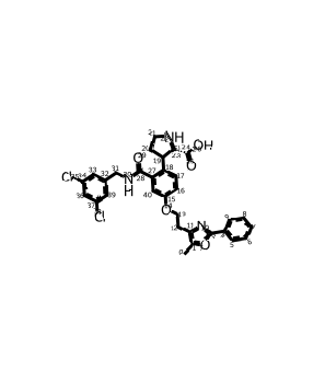 Cc1oc(-c2ccccc2)nc1CCOc1ccc(C2CCN[C@@H]2C(=O)O)c(C(=O)NCc2cc(Cl)cc(Cl)c2)c1